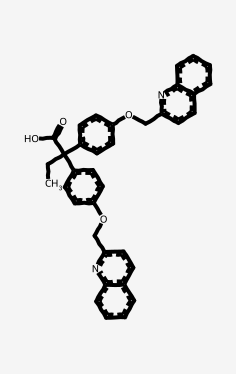 CCC(C(=O)O)(c1ccc(OCc2ccc3ccccc3n2)cc1)c1ccc(OCc2ccc3ccccc3n2)cc1